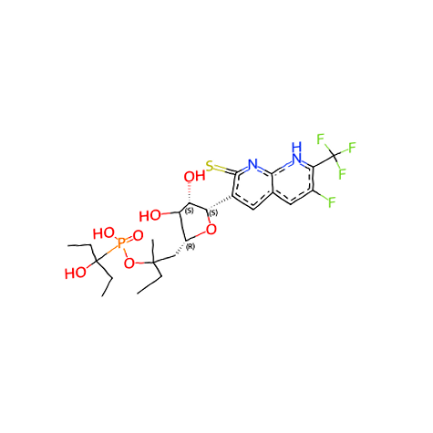 CCC(C)(C[C@H]1O[C@@H](c2cc3cc(F)c(C(F)(F)F)[nH]c-3nc2=S)[C@@H](O)C1O)OP(=O)(O)C(O)(CC)CC